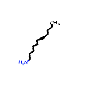 CCCCC#CCCCCCCN